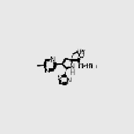 Cc1cnc([C@H]2C[C@@](CC(C)C)(C(=O)OC(C)(C)C)N[C@H]2c2nccs2)cn1